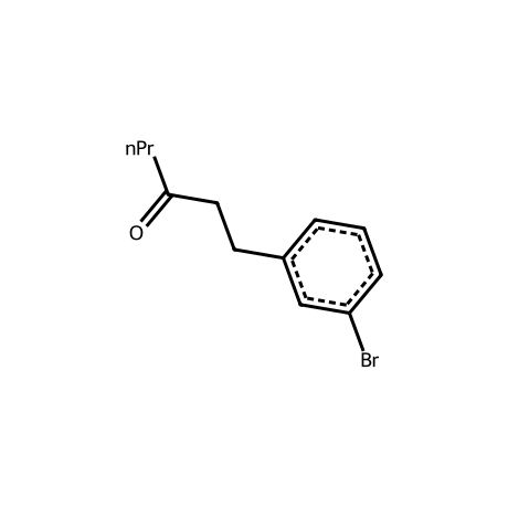 CCCC(=O)CCc1cccc(Br)c1